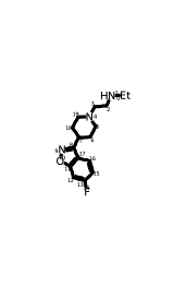 [CH2]CNCCN1CCC(c2noc3cc(F)ccc23)CC1